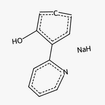 Oc1ccccc1-c1ccccn1.[NaH]